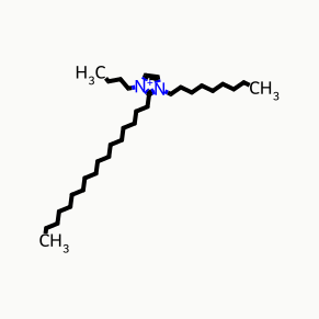 CCCCCCCCCCCCCCCCCc1n(CCCCCCCCC)cc[n+]1CCCC